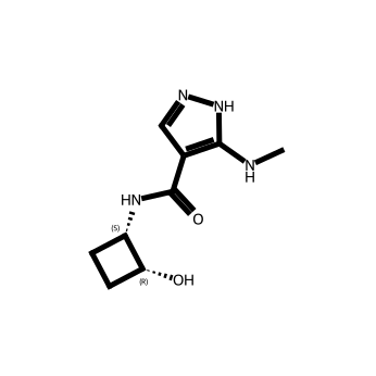 CNc1[nH]ncc1C(=O)N[C@H]1CC[C@H]1O